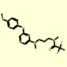 COc1ccc(Oc2cncc(N(C)CCCN(C)C(=O)C(F)(F)F)n2)cc1